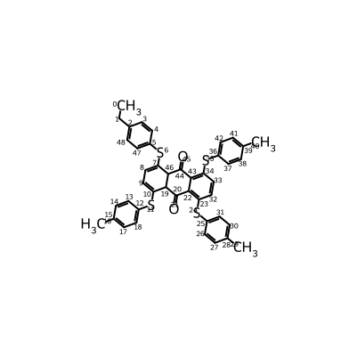 CCc1ccc(SC2=CC=C(Sc3ccc(C)cc3)C3C(=O)c4c(Sc5ccc(C)cc5)ccc(Sc5ccc(C)cc5)c4C(=O)C23)cc1